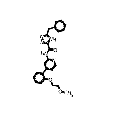 COCCOc1ccccc1-c1ccnc(NC(=O)c2nnc(Cc3ccccc3)[nH]2)c1